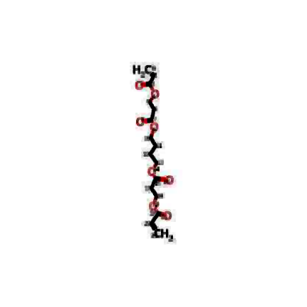 C=CC(=O)OCCC(=O)OCCCCOC(=O)CCOC(=O)C=C